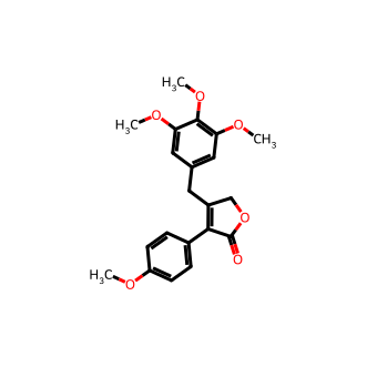 COc1ccc(C2=C(Cc3cc(OC)c(OC)c(OC)c3)COC2=O)cc1